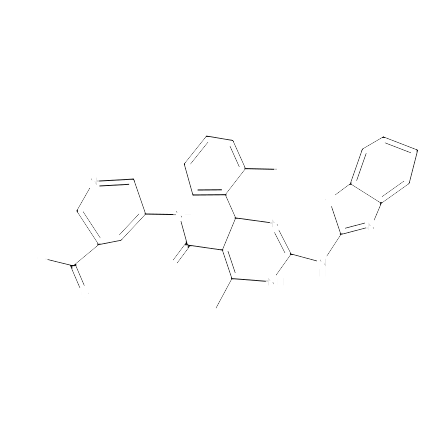 CC1=C(C(=O)Nc2cncc(C(=O)O)c2)C(c2ccccc2Cl)N=C(Nc2nc3ccccc3o2)N1